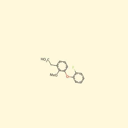 COc1c(CC(=O)O)cccc1Oc1ccccc1F